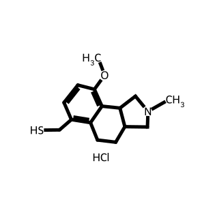 COc1ccc(CS)c2c1C1CN(C)CC1CC2.Cl